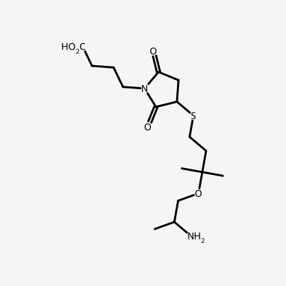 CC(N)COC(C)(C)CCSC1CC(=O)N(CCCC(=O)O)C1=O